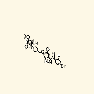 COCP(=O)(N[C@@H](C)C(=O)OC(C)C)N1CCC(COc2cc3ncnc(Nc4ccc(Br)cc4F)c3cc2OC)CC1